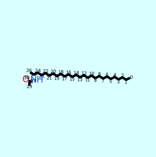 CCCCCCCCCCCCCCCCCCCCCCCCCC(C)NC(C)=O